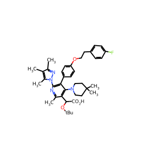 Cc1nn(-c2nc(C)c(C(OC(C)(C)C)C(=O)O)c(N3CCC(C)(C)CC3)c2-c2ccc(OCCc3ccc(F)cc3)cc2)c(C)c1C